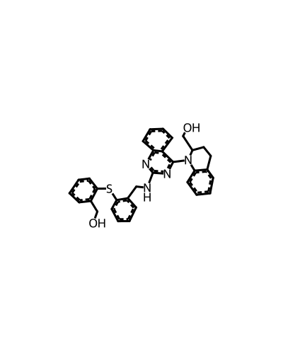 OCc1ccccc1Sc1ccccc1CNc1nc(N2c3ccccc3CCC2CO)c2ccccc2n1